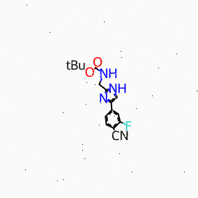 CC(C)(C)OC(=O)NCc1nc(-c2ccc(C#N)c(F)c2)c[nH]1